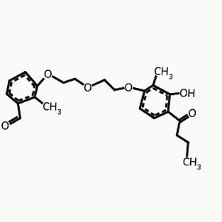 CCCC(=O)c1ccc(OCCOCCOc2cccc(C=O)c2C)c(C)c1O